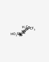 Cc1ccc(C(F)(F)F)cc1N1CC2CN(c3ncc(-c4nnn(CC(=O)O)n4)cn3)CC2C1